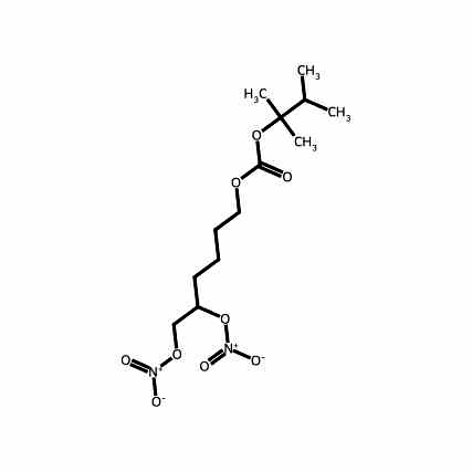 CC(C)C(C)(C)OC(=O)OCCCCC(CO[N+](=O)[O-])O[N+](=O)[O-]